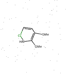 COC1=[C](OC)[AlH][Cl+]C=C1